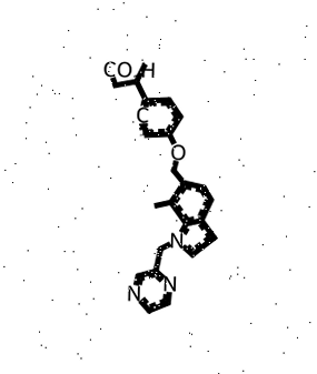 Cc1c(COc2ccc(C(C)CC(=O)O)cc2)ccc2ccn(Cc3cnccn3)c12